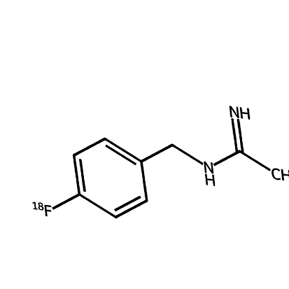 CC(=N)NCc1ccc([18F])cc1